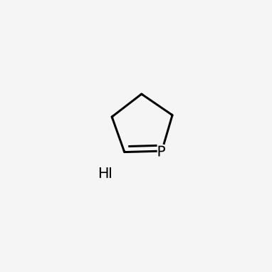 C1=PCCC1.I